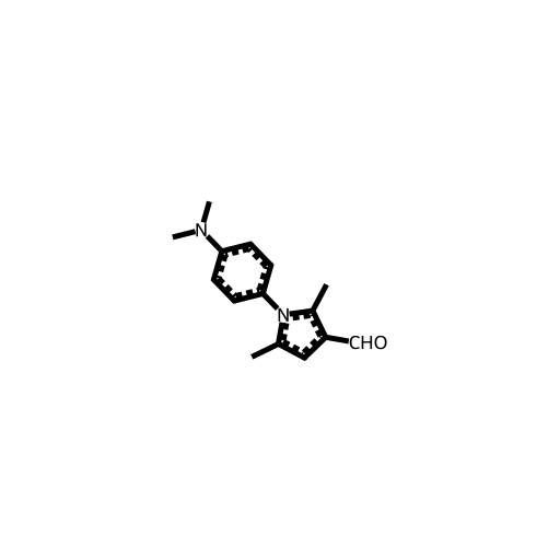 Cc1cc(C=O)c(C)n1-c1ccc(N(C)C)cc1